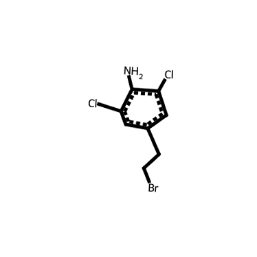 Nc1c(Cl)cc(CCBr)cc1Cl